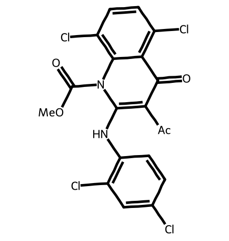 COC(=O)n1c(Nc2ccc(Cl)cc2Cl)c(C(C)=O)c(=O)c2c(Cl)ccc(Cl)c21